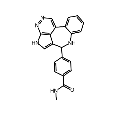 CNC(=O)c1ccc(C2Nc3ccccc3-c3cnnc4[nH]cc2c34)cc1